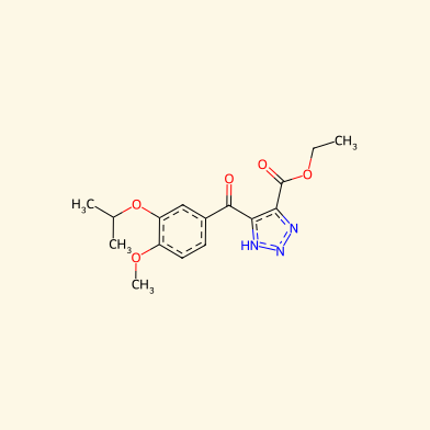 CCOC(=O)c1nn[nH]c1C(=O)c1ccc(OC)c(OC(C)C)c1